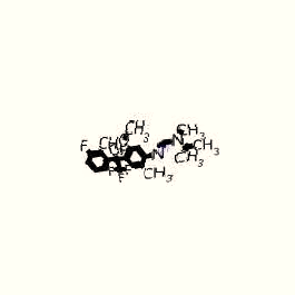 COc1cc(/N=C/N(C)C(C)C)c(C)cc1C(O)(c1cccc(F)c1C)C(F)(F)F